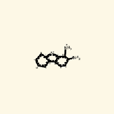 Nc1ccc2c(sc3ccccc32)c1N